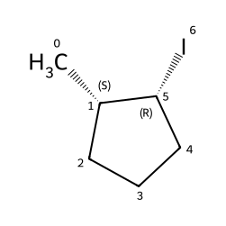 C[C@H]1CCC[C@H]1I